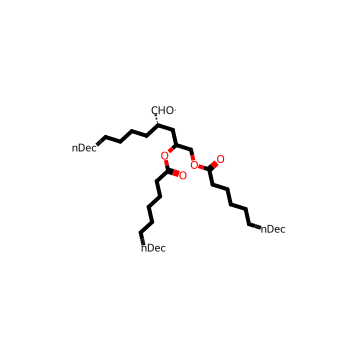 CCCCCCCCCCCCCCCC(=O)OCC(C[C@@H]([C]=O)CCCCCCCCCCCCCC)OC(=O)CCCCCCCCCCCCCCC